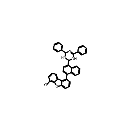 Clc1cccc2c1oc1cccc(-c3ccc(C4NC(c5ccccc5)=NC(c5ccccc5)N4)c4ccccc34)c12